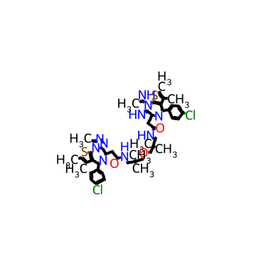 CC(=N)N1C(=N)C(CC(=O)NCC(C)(C)COCC(C)(C)CNC(=O)CC2N=C(c3ccc(Cl)cc3)c3c(sc(C)c3C)-n3c(C)nnc32)N=C(c2ccc(Cl)cc2)c2c1sc(C)c2C